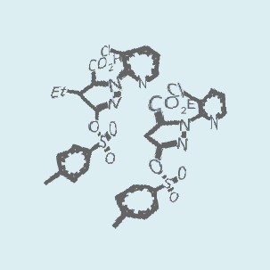 CCC1C(OS(=O)(=O)c2ccc(C)cc2)=NN(c2ncccc2Cl)C1C(=O)O.CCOC(=O)C1CC(OS(=O)(=O)c2ccc(C)cc2)=NN1c1ncccc1Cl